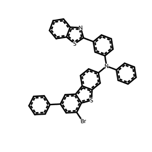 Brc1cc(-c2ccccc2)cc2c1sc1cc(N(c3ccccc3)c3cccc(-c4nc5ccccc5s4)c3)ccc12